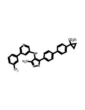 CCOC(=O)C1(c2ccc(-c3ccc(-c4onc(C)c4Nc4cncc(-c5cccc(C(F)(F)F)c5)c4)cc3)cc2)CC1